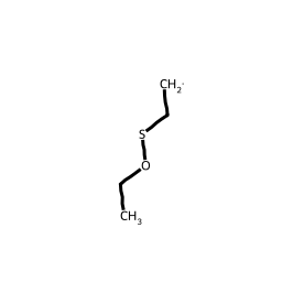 [CH2]CSOCC